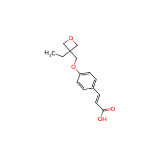 CCC1(COc2ccc(/C=C/C(=O)O)cc2)COC1